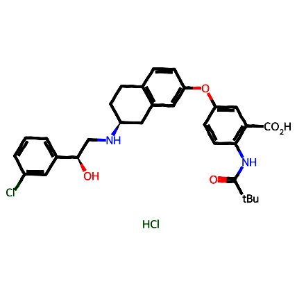 CC(C)(C)C(=O)Nc1ccc(Oc2ccc3c(c2)C[C@@H](NC[C@@H](O)c2cccc(Cl)c2)CC3)cc1C(=O)O.Cl